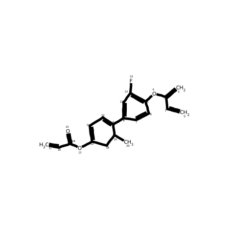 C=CC(=C)Oc1ccc(C2=CC=C(OC(=O)C=C)CC2C)cc1F